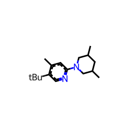 Cc1cc(N2CC(C)CC(C)C2)ncc1C(C)(C)C